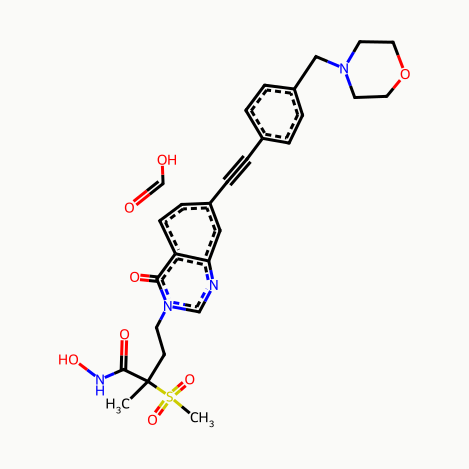 CC(CCn1cnc2cc(C#Cc3ccc(CN4CCOCC4)cc3)ccc2c1=O)(C(=O)NO)S(C)(=O)=O.O=CO